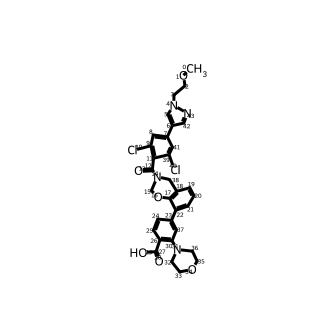 COCCn1cc(-c2cc(Cl)c(C(=O)N3COc4c(cccc4-c4ccc(C(=O)O)c(N5CCOCC5)c4)C3)c(Cl)c2)cn1